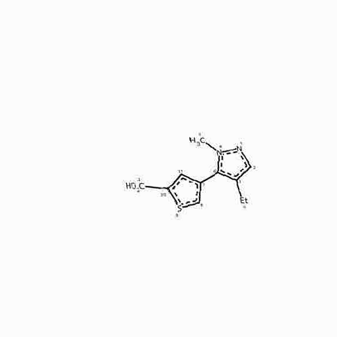 CCc1cnn(C)c1-c1csc(C(=O)O)c1